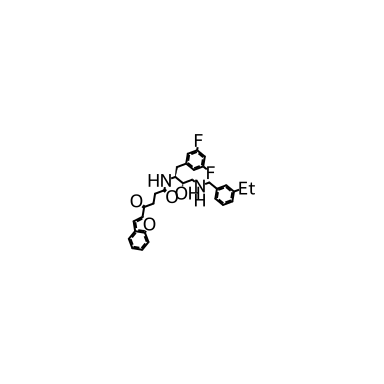 CCc1cccc(CNC[C@H](O)[C@H](Cc2cc(F)cc(F)c2)NC(=O)CCC(=O)c2cc3ccccc3o2)c1